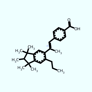 CCCc1cc2c(cc1/C(C)=C/c1ccc(C(=O)O)cc1)C(C)(C)C(C)C2(C)C